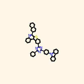 c1ccc(-c2nc(-c3ccc(-n4c5ccccc5c5ccccc54)cc3)nc(-c3ccc4sc5c(-c6ccc7ccccc7c6)nc6ccccc6c5c4c3)n2)cc1